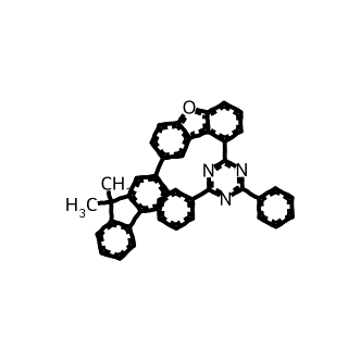 CC1(C)c2ccccc2-c2ccc(-c3ccc4oc5cccc(-c6nc(-c7ccccc7)nc(-c7ccccc7)n6)c5c4c3)cc21